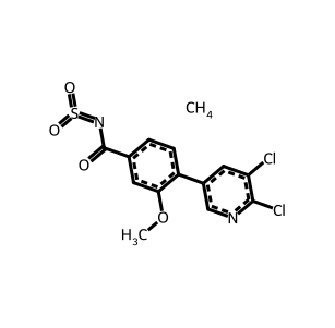 C.COc1cc(C(=O)N=S(=O)=O)ccc1-c1cnc(Cl)c(Cl)c1